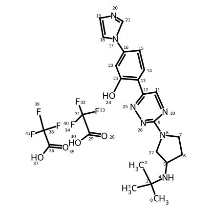 CC(C)(C)NC1CCN(c2ncc(-c3ccc(-n4ccnc4)cc3O)nn2)C1.O=C(O)C(F)(F)F.O=C(O)C(F)(F)F